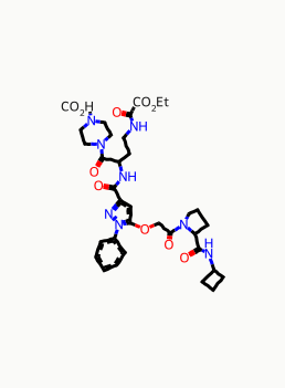 CCOC(=O)C(=O)NCCC(NC(=O)c1cc(OCC(=O)N2CCCC2C(=O)NC2CCC2)n(-c2ccccc2)n1)C(=O)N1CCN(C(=O)O)CC1